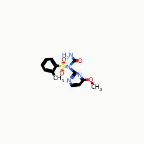 COc1ccnc(N(C(N)=O)S(=O)(=O)c2ccccc2C)n1